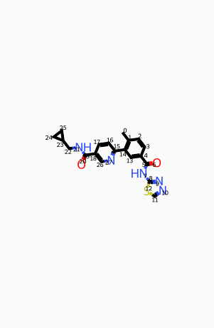 Cc1ccc(C(=O)Nc2nncs2)cc1-c1ccc(C(=O)NCC2CC2)cn1